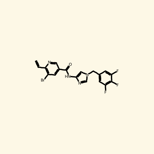 C=Cc1ncc(C(=O)Nc2cn(Cc3cc(F)c(F)c(F)c3)cn2)cc1Br